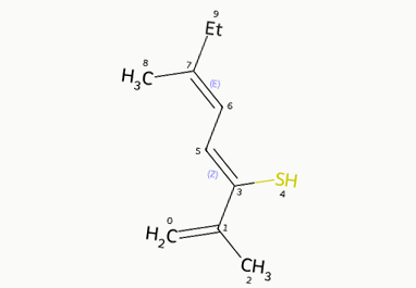 C=C(C)/C(S)=C/C=C(\C)CC